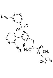 CN(Cc1cn(S(=O)(=O)c2cccc(C#N)c2)c(-c2cccnc2C#N)c1F)C(=O)OC(C)(C)C